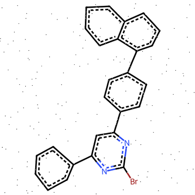 Brc1nc(-c2ccccc2)cc(-c2ccc(-c3cccc4ccccc34)cc2)n1